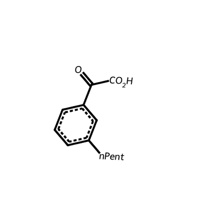 CCCCCc1cccc(C(=O)C(=O)O)c1